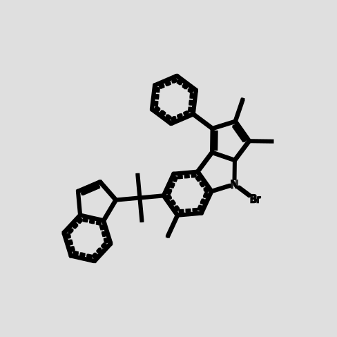 CC1=C(C)C2C(=C1c1ccccc1)c1cc(C(C)(C)C3C=Cc4ccccc43)c(C)cc1N2Br